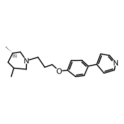 CC1C[C@H](C)CN(CCCOc2ccc(-c3ccncc3)cc2)C1